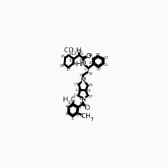 Cc1cccc(C)c1C(=O)N1CC2CN(CC[C@H](NC(=O)C(C(=O)O)C3CCCCC3)c3ccccc3)CC2C1